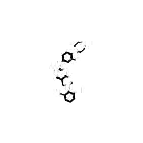 C[C@H]1CNCCN1c1ccc(Nc2ncc3c(n2)SCN(c2c(Cl)cccc2Cl)C3=O)cc1F